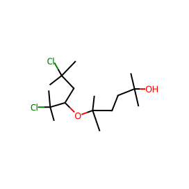 CC(C)(O)CCC(C)(C)OC(CC(C)(C)Cl)C(C)(C)Cl